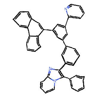 c1ccc(-c2c(-c3cccc(-c4cc(-c5ccccn5)cc(-c5cc6ccccc6c6ccccc56)c4)c3)nc3ccccn23)cc1